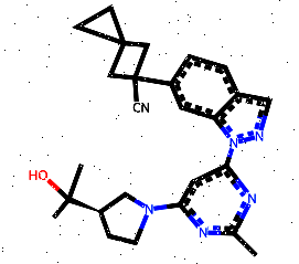 Cc1nc(N2CC[C@@H](C(C)(C)O)C2)cc(-n2ncc3ccc(C4(C#N)CC5(CC5)C4)cc32)n1